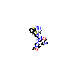 C=CC(=O)N1CCN(c2cc(O[C@@H](C)[C@@H]3CCCN3C)nc(-c3cc([C@@]4(C)CCCc5sc(N)c(C#N)c54)sn3)n2)CC12CC2